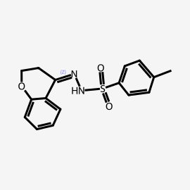 Cc1ccc(S(=O)(=O)N/N=C2/CCOc3ccccc32)cc1